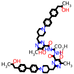 Cc1nc(CC2CCN(c3ccc(-c4ccc(CC(C)O)cc4)cc3)CC2)nc(C(=O)NC(NC(=O)c2nc(CC3CCN(c4ccc(-c5ccc(CC(C)O)cc5)cc4)CC3)nc(C)c2O)C(=O)O)c1O